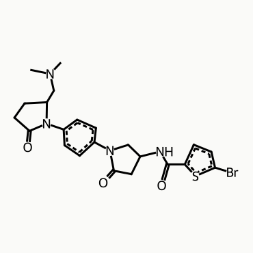 CN(C)CC1CCC(=O)N1c1ccc(N2CC(NC(=O)c3ccc(Br)s3)CC2=O)cc1